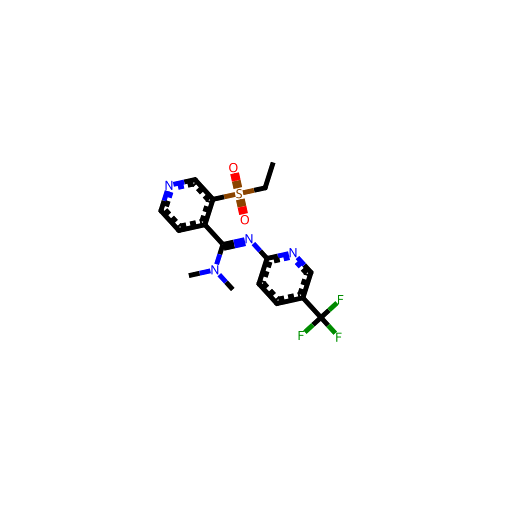 CCS(=O)(=O)c1cnccc1/C(=N/c1ccc(C(F)(F)F)cn1)N(C)C